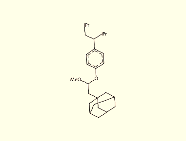 COC(CC12CC3CC(CC(C3)C1)C2)Oc1ccc(C(CC(C)C)C(C)C)cc1